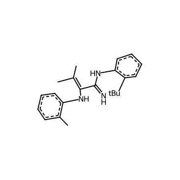 CC(C)=C(Nc1ccccc1C)C(=N)Nc1ccccc1C(C)(C)C